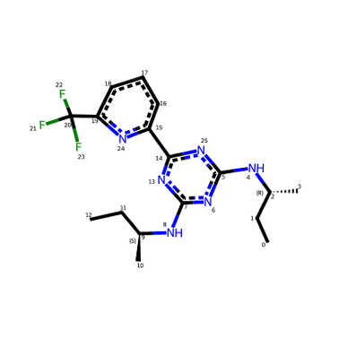 CC[C@@H](C)Nc1nc(N[C@@H](C)CC)nc(-c2cccc(C(F)(F)F)n2)n1